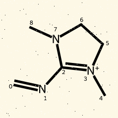 C=NC1=[N+](C)CCN1C